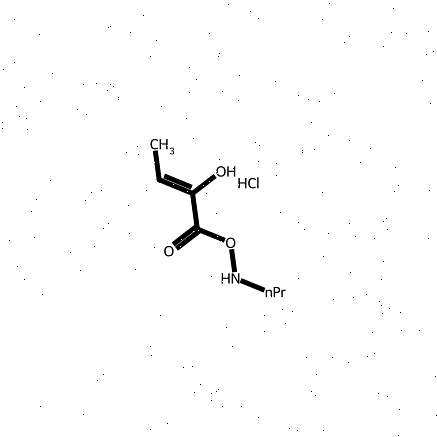 CC=C(O)C(=O)ONCCC.Cl